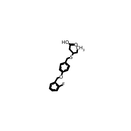 CCC(CC(=O)O)SCc1ccc(OCc2ccccc2F)cc1